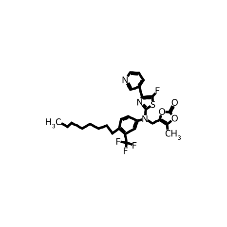 CCCCCCCCc1ccc(N(Cc2oc(=O)oc2C)c2nc(-c3cccnc3)c(F)s2)cc1C(F)(F)F